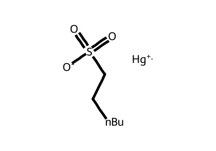 CCCCCCS(=O)(=O)[O-].[Hg+]